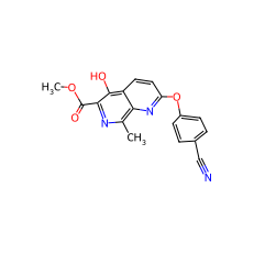 COC(=O)c1nc(C)c2nc(Oc3ccc(C#N)cc3)ccc2c1O